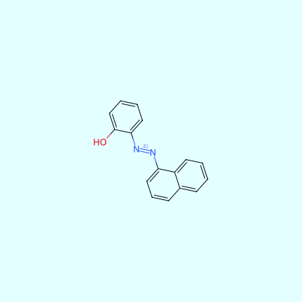 Oc1ccccc1/N=N/c1cccc2ccccc12